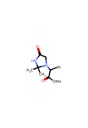 COC(=O)C(C(C)C)N1CC(=O)NC1(C)C